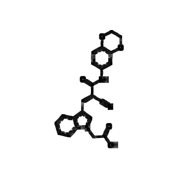 N#C/C(=C\c1cn(CC(=O)O)c2ccccc12)C(=O)Nc1ccc2c(c1)OCCO2